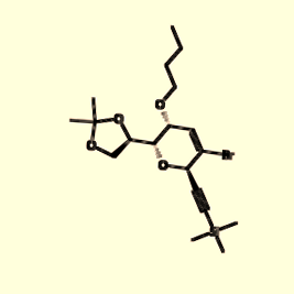 CCCCO[C@@H]1C=C(Br)[C@@H](C#C[Si](C)(C)C)O[C@@H]1[C@H]1COC(C)(C)O1